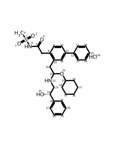 CS(=O)(=O)NC(=O)Cc1ccc(-c2ccccc2)cc1CC(NC[C@@H](O)c1ccccc1)OC1CCCCC1.Cl